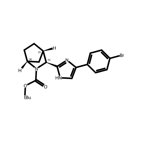 CC(C)(C)OC(=O)N1[C@@H]2CC[C@@H](C2)[C@H]1c1nc(-c2ccc(Br)cc2)c[nH]1